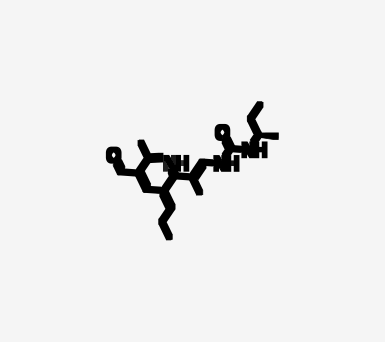 C=C(C)/C(C=O)=C\C(=C/CC)C(=N)/C(C)=C/NC(=O)N[C@H](C)CC